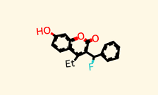 CCc1c(C(F)c2ccccc2)c(=O)oc2cc(O)ccc12